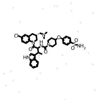 CC(c1c[nH]c2ccccc12)C(NC(=O)N1CCC(Oc2ccc(S(N)(=O)=O)cc2)CC1)C(=O)N1C[C@@H](CN(C)C)Cc2cc(Cl)ccc21